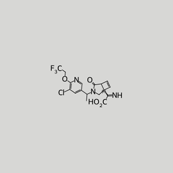 CC(c1cnc(OCC(F)(F)F)c(Cl)c1)N1C[C@@]2(C(=N)C(=O)O)C=CC2C1=O